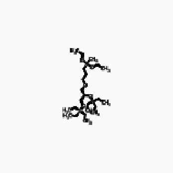 CCO[Si](C)(CCCOCC(CO[Si](CC)(CC)CC)O[Si](CC)(CC)CC)OCC